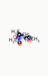 Cc1cc([C@@H](C)Nc2cnc3c(=O)n(C)ccc3c2)c2nc(N3CCOCC3)n(C)c(=O)c2c1